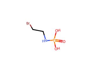 O=P(O)(O)NCCBr